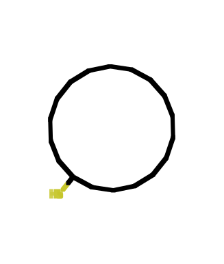 SC1CCCCCCCCCCCCCCCCC1